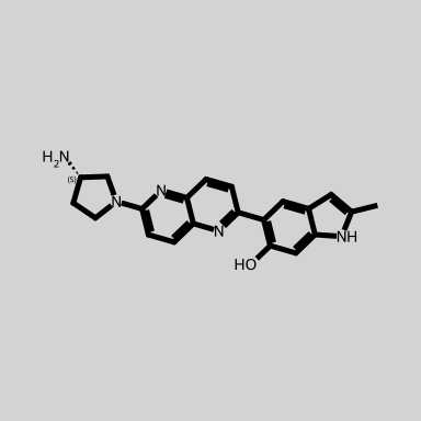 Cc1cc2cc(-c3ccc4nc(N5CC[C@H](N)C5)ccc4n3)c(O)cc2[nH]1